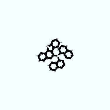 c1ccc2c(N(c3cccc4ccccc34)c3cc4ccccc4c4oc5ccccc5c34)cccc2c1